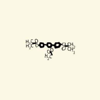 C=CC(=O)Oc1cc(-c2ccc(OC(=O)C(=C)C)cc2)ccc1-c1ccc(OC(=O)C(=C)C)cc1